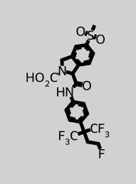 CS(=O)(=O)c1ccc2c(c1)CN(C(=O)O)C2C(=O)Nc1ccc(C(CCF)(C(F)(F)F)C(F)(F)F)cc1